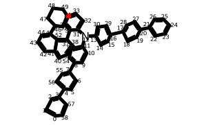 c1ccc(-c2ccc(-c3ccc(N(c4ccc(-c5ccc(-c6ccccc6)cc5)cc4)c4ccccc4-c4cccc5cccc(C6CCCCC6)c45)cc3)cc2)cc1